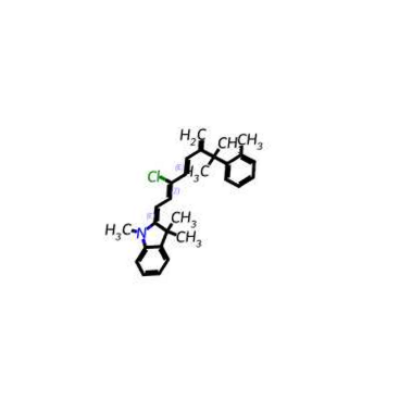 C=C(/C=C/C(Cl)=C/C=C1/N(C)c2ccccc2C1(C)C)C(C)(C)c1ccccc1C